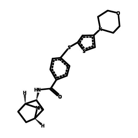 O=C(N[C@@H]1C[C@H]2CC[C@@H]1N2)c1ccc(Sc2cc(N3CCOCC3)cs2)cc1